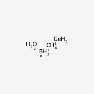 B.C.O.[GeH4]